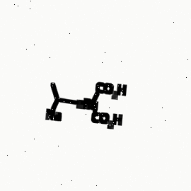 CCCC[CH](C)[Na].O=C(O)CC(=O)O